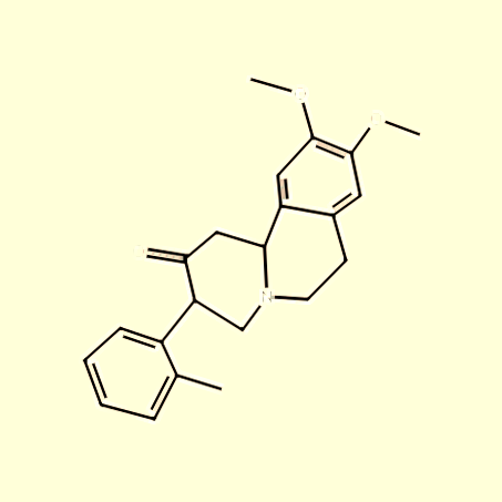 COc1cc2c(cc1OC)C1CC(=O)C(c3ccccc3C)CN1CC2